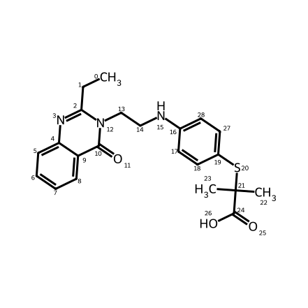 CCc1nc2ccccc2c(=O)n1CCNc1ccc(SC(C)(C)C(=O)O)cc1